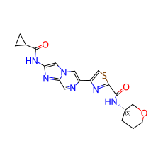 O=C(N[C@H]1CCCOC1)c1nc(-c2cn3cc(NC(=O)C4CC4)nc3cn2)cs1